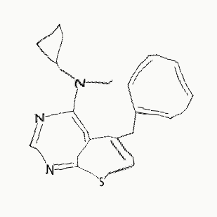 CN(c1ncnc2scc(-c3ccccc3)c12)C1CC1